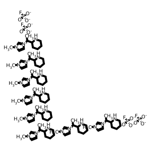 CC(C1CCCCN1)[n+]1ccn(C)c1.CC(C1CCCCN1)[n+]1ccn(C)c1.CC(C1CCCCN1)[n+]1ccn(C)c1.CC(C1CCCCN1)[n+]1ccn(C)c1.CC(C1CCCCN1)[n+]1ccn(C)c1.CC(C1CCCCN1)[n+]1ccn(C)c1.CC(C1CCCCN1)[n+]1ccn(C)c1.CC(C1CCCCN1)[n+]1ccn(C)c1.O=P([O-])([O-])F.O=P([O-])([O-])F.O=P([O-])([O-])F.O=P([O-])([O-])F